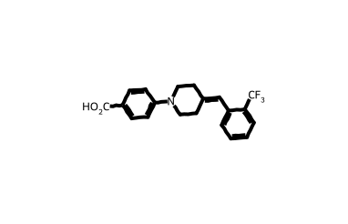 O=C(O)c1ccc(N2CCC(=Cc3ccccc3C(F)(F)F)CC2)cc1